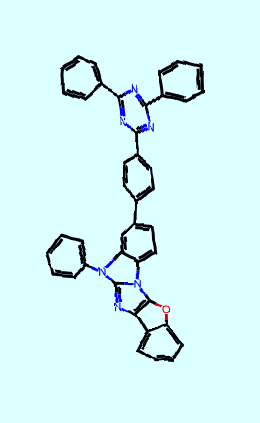 c1ccc(-c2nc(-c3ccccc3)nc(-c3ccc(-c4ccc5c(c4)n(-c4ccccc4)c4nc6c7ccccc7oc6n54)cc3)n2)cc1